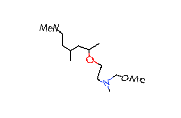 CNCCC(C)CC(C)OCCN(C)COC